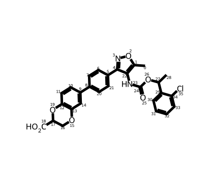 Cc1onc(-c2ccc(-c3ccc4c(c3)OCC(C(=O)O)O4)cc2)c1NC(=O)OC(C)c1ccccc1Cl